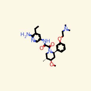 CCc1cc(NC(=O)C(=O)N2C[C@@H](C)[C@H](OC)C[C@@H]2c2cccc(OCCN(C)C)c2)cnc1N